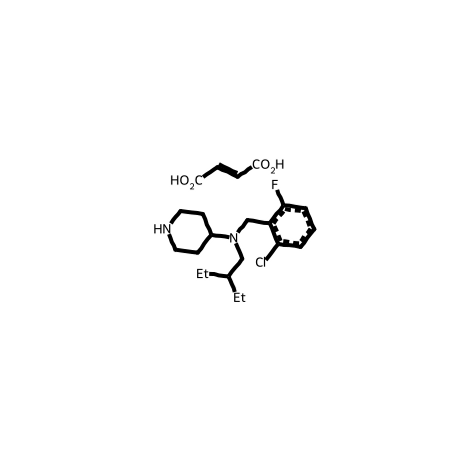 CCC(CC)CN(Cc1c(F)cccc1Cl)C1CCNCC1.O=C(O)C=CC(=O)O